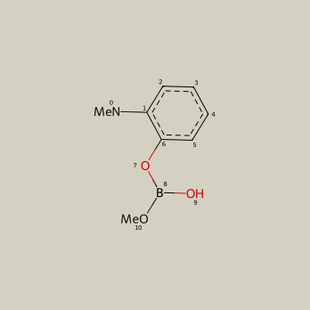 CNc1ccccc1OB(O)OC